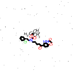 CC(C)(C)OC(=O)N(CCCCC(=O)c1ccc2c(c1)NC(=O)CO2)CCc1ccccc1Cl